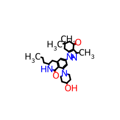 CCCC1Cc2cc(-n3nc(C)c4c3CC(C)(C)CC4=O)cc(N3CCC(O)CC3)c2C(=O)N1